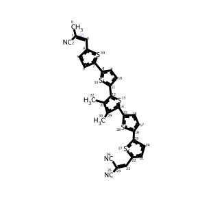 C/C(C#N)=C/c1ccc(-c2ccc(-c3sc(-c4ccc(-c5ccc(C=C(C#N)C#N)s5)s4)c(C)c3C)s2)s1